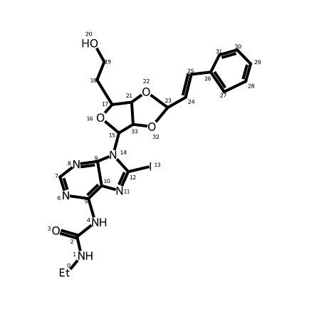 CCNC(=O)Nc1ncnc2c1nc(I)n2C1OC(CCO)C2OC(/C=C/c3ccccc3)OC21